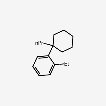 CCCC1(c2ccccc2CC)CCCCC1